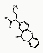 CCCC(C(=O)O)c1ccc2c(c1)C(=O)Cc1ccccc1O2